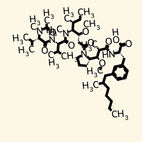 CCCCCC(C)Cc1cccc(C[C@H](NC(=O)[C@H](C)[C@@H](OC)[C@@H]2CCCN2C(=O)C[C@@H](OC)[C@H]([C@@H](C)CC)N(C)C(=O)[C@@H](NC(=O)[C@H](C(C)C)N(C)C(C)=O)C(C)C)C(=O)O)c1